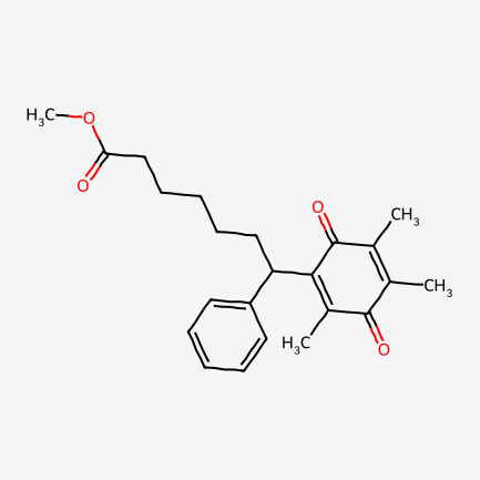 COC(=O)CCCCCC(C1=C(C)C(=O)C(C)=C(C)C1=O)c1ccccc1